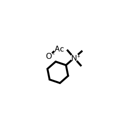 CC(=O)[O-].C[N+](C)(C)C1CCCCC1